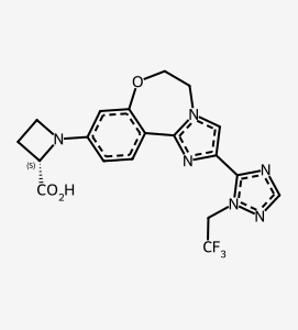 O=C(O)[C@@H]1CCN1c1ccc2c(c1)OCCn1cc(-c3ncnn3CC(F)(F)F)nc1-2